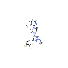 CC(C)N(C)c1nc(-c2ccc(F)c(Cl)c2)cc(N2CCN(c3ncccc3C(F)(F)F)CC2)n1